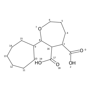 O=C(O)C1CCCOC(C2CCCCCC2)C1C(=O)O